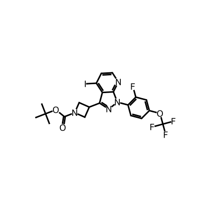 CC(C)(C)OC(=O)N1CC(c2nn(-c3ccc(OC(F)(F)F)cc3F)c3nccc(I)c23)C1